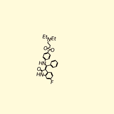 CCN(CC)CCS(=O)(=O)c1ccc(N/C(=C2\C(=O)Nc3cc(F)ccc32)c2ccccc2)cc1